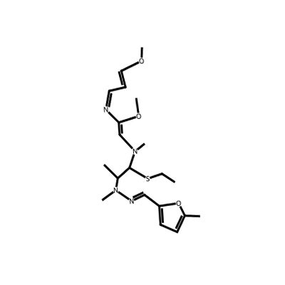 CCSC(C(C)N(C)/N=C/c1ccc(C)o1)N(C)/C=C(/N=C\C=C\OC)OC